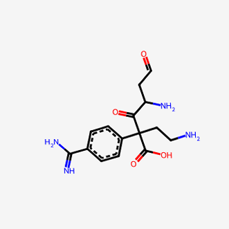 N=C(N)c1ccc(C(CCN)(C(=O)O)C(=O)C(N)CC=O)cc1